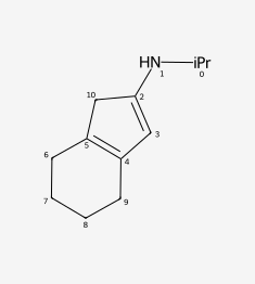 CC(C)NC1=CC2=C(CCCC2)C1